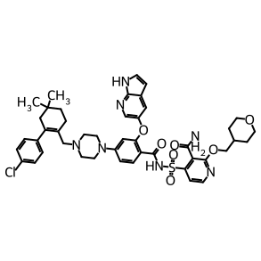 CC1(C)CCC(CN2CCN(c3ccc(C(=O)NS(=O)(=O)c4ccnc(OCC5CCOCC5)c4C(N)=O)c(Oc4cnc5[nH]ccc5c4)c3)CC2)=C(c2ccc(Cl)cc2)C1